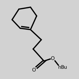 CCCCOC(=O)CCC1=CCCCC1